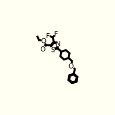 CCOC(=O)c1sc(C2CCC(COCc3ccccc3)CC2)nc1C(F)F